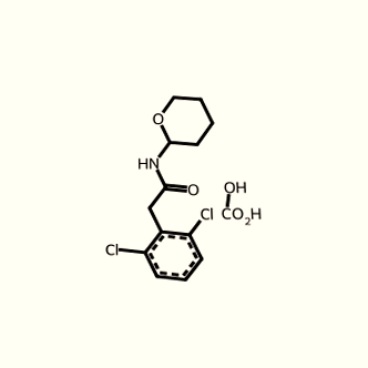 O=C(Cc1c(Cl)cccc1Cl)NC1CCCCO1.O=C(O)O